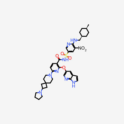 C[C@H]1CC[C@@H](CNc2ncc(S(=O)(=O)NC(=O)c3ccc(N4CCC5(CC4)CC(N4CCCC4)C5)nc3Oc3cnc4[nH]ccc4c3)cc2[N+](=O)[O-])CC1